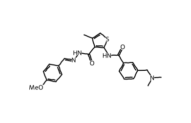 COc1ccc(C=NNC(=O)c2c(C)csc2NC(=O)c2cccc(CN(C)C)c2)cc1